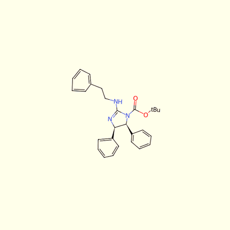 CC(C)(C)OC(=O)N1C(NCCc2ccccc2)=N[C@H](c2ccccc2)[C@@H]1c1ccccc1